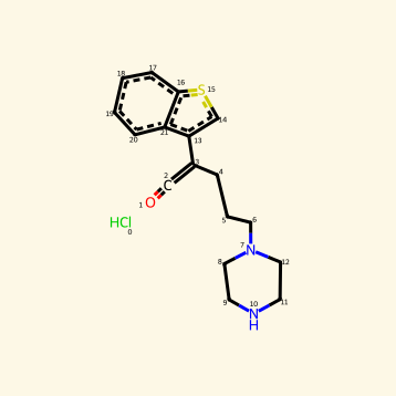 Cl.O=C=C(CCCN1CCNCC1)c1csc2ccccc12